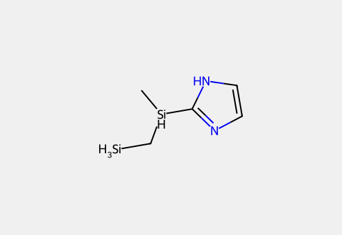 C[SiH](C[SiH3])c1ncc[nH]1